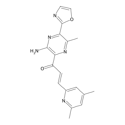 Cc1cc(C)nc(C=CC(=O)c2nc(C)c(-c3ncco3)nc2N)c1